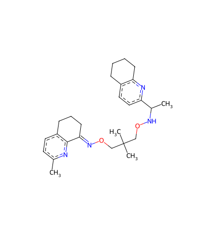 Cc1ccc2c(n1)/C(=N/OCC(C)(C)CONC(C)c1ccc3c(n1)CCCC3)CCC2